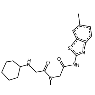 Cc1ccc2nc(NC(=O)CN(C)C(=O)CNC3CCCCC3)sc2c1